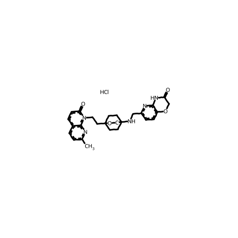 Cc1ccc2ccc(=O)n(CCC34CCC(NCc5ccc6c(n5)NC(=O)CO6)(CC3)CO4)c2n1.Cl